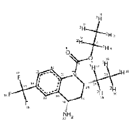 [2H]C([2H])([2H])C([2H])([2H])OC(=O)N1c2ccc(C(F)(F)F)cc2[C@@H](N)C[C@H]1C([2H])([2H])C([2H])([2H])[2H]